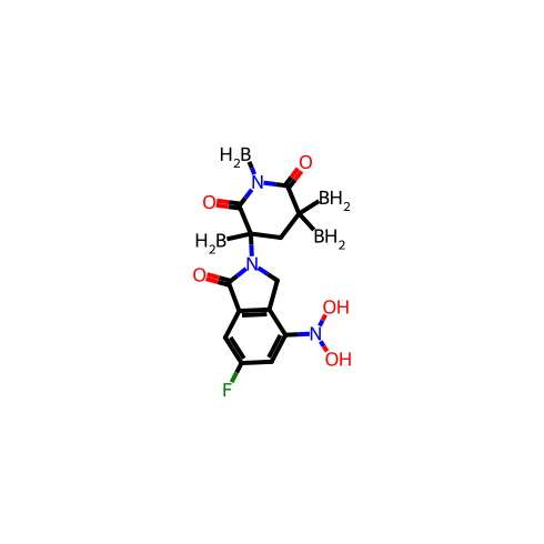 BN1C(=O)C(B)(B)CC(B)(N2Cc3c(cc(F)cc3N(O)O)C2=O)C1=O